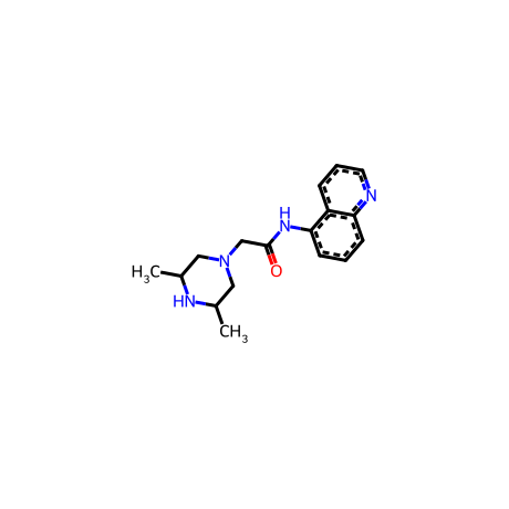 CC1CN(CC(=O)Nc2cccc3ncccc23)CC(C)N1